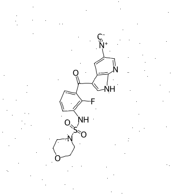 [C-]#[N+]c1cnc2[nH]cc(C(=O)c3cccc(NS(=O)(=O)N4CCOCC4)c3F)c2c1